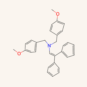 COc1ccc(CN(C=C(c2ccccc2)c2ccccc2)Cc2ccc(OC)cc2)cc1